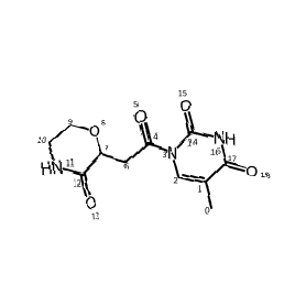 Cc1cn(C(=O)CC2OCCNC2=O)c(=O)[nH]c1=O